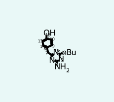 CCCCc1nc(N)nc(Cc2ccc(O)cc2)n1